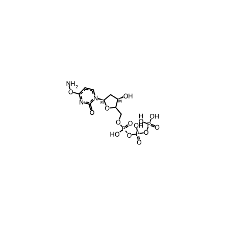 NOc1ccn([C@H]2C[C@@H](O)C(COP(=O)(O)OP(=O)(O)OP(=O)(O)O)O2)c(=O)n1